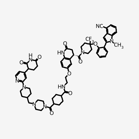 Cn1c(-c2ccccc2OC2(C(F)(F)F)CCN(C(=O)[C@H]3CC(=O)Nc4ccc(OCCNC(=O)C5CCC(C(=O)N6CCN(CC7CCN(c8cc(C9CCC(=O)NC9=O)ccn8)CC7)CC6)CC5)cc43)CC2)cc2c(C#N)cccc21